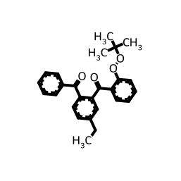 CCc1ccc(C(=O)c2ccccc2)c(C(=O)c2ccccc2OOC(C)(C)C)c1